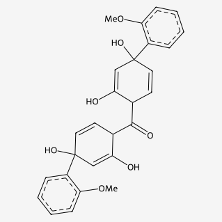 COc1ccccc1C1(O)C=CC(C(=O)C2C=CC(O)(c3ccccc3OC)C=C2O)C(O)=C1